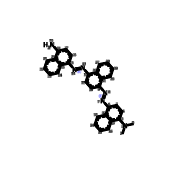 CN(C)c1ccc(/N=N/c2ccc(/N=N/c3ccc(N)c4ccccc34)c3ccccc23)c2ccccc12